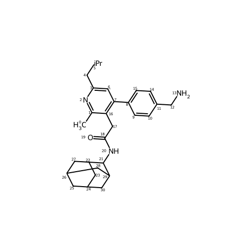 Cc1nc(CC(C)C)[c]c(-c2ccc(CN)cc2)c1CC(=O)NC1C2CC3CC(C2)CC1C3